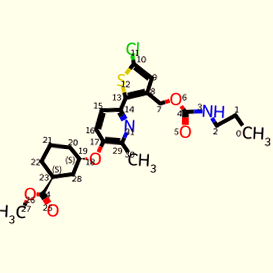 CCCNC(=O)OCc1cc(Cl)sc1-c1ccc(O[C@H]2CCC[C@H](C(=O)OC)C2)c(C)n1